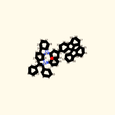 c1ccc(-c2c(-c3ccccc3)n(-c3ccccc3)c3c2ccc2c4ccccc4n(-c4cccc(-c5ccc6c(c5)C5(c7ccccc7-c7ccccc75)c5ccccc5-6)c4)c23)cc1